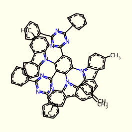 Cc1ccc2c(c1)c1cc(C)ccc1n2-c1cc(-c2nc(-c3ccccc3)nc(-c3ccccc3)n2)c(-n2c3ccccc3c3cc(C)ccc32)c(-c2nc(-c3ccccc3)nc(-c3ccccc3)n2)c1-n1c2ccc(C)cc2c2cc(C)ccc21